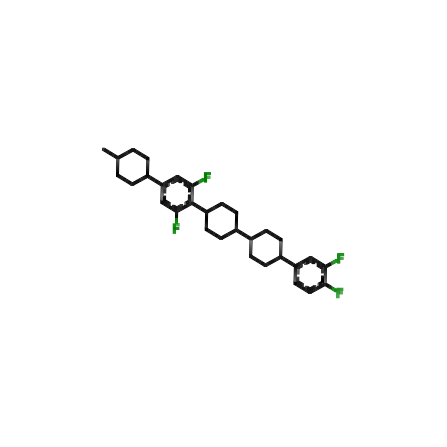 CC1CCC(c2cc(F)c(C3CCC(C4CCC(c5ccc(F)c(F)c5)CC4)CC3)c(F)c2)CC1